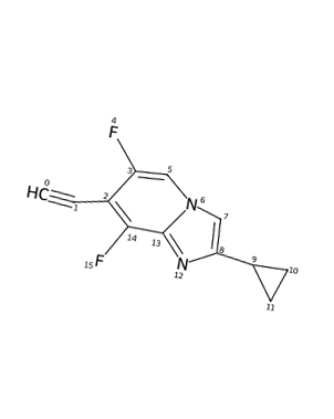 C#Cc1c(F)cn2cc(C3CC3)nc2c1F